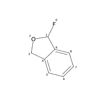 FC1OCc2ccccc21